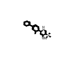 Cc1cc(-c2ccccc2)ccc1C1C=C(C(C)(C)C)C([Si](C)(C)C)=CN1